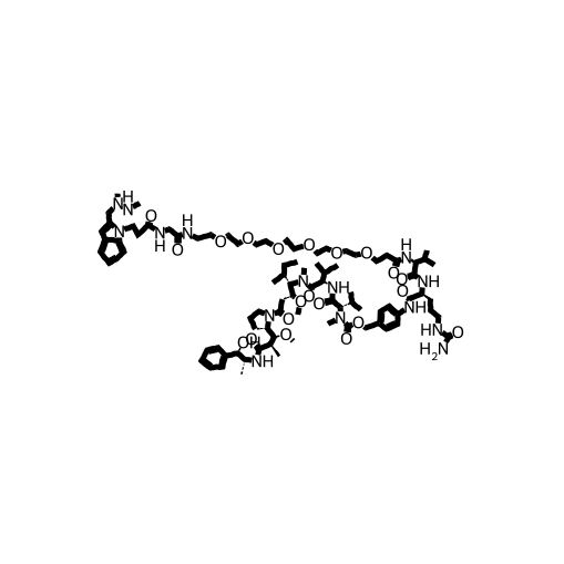 CCC(C)[C@@H]([C@@H](CC(=O)N1CCC[C@H]1[C@H](OC)[C@@H](C)C(=O)N[C@H](C)[C@@H](O)c1ccccc1)OC)N(C)C(=O)[C@@H](NC(=O)[C@H](C(C)C)N(C)C(=O)OCc1ccc(NC(=O)[C@H](CCCNC(N)=O)NC(=O)[C@@H](NC(=O)CCOCCOCCOCCOCCOCCOCCNC(=O)CNC(=O)CCn2c(CN(C)NC)cc3ccccc32)C(C)C)cc1)C(C)C